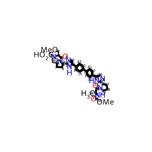 COC[C@@H](C(=O)N1CCC[C@H]1c1ncc(-c2ccc(-c3ccc(-c4cnc([C@@H]5CCCN5C(=O)[C@H](C)NC(=O)OC)[nH]4)cc3)cc2)[nH]1)N(C)C(=O)O